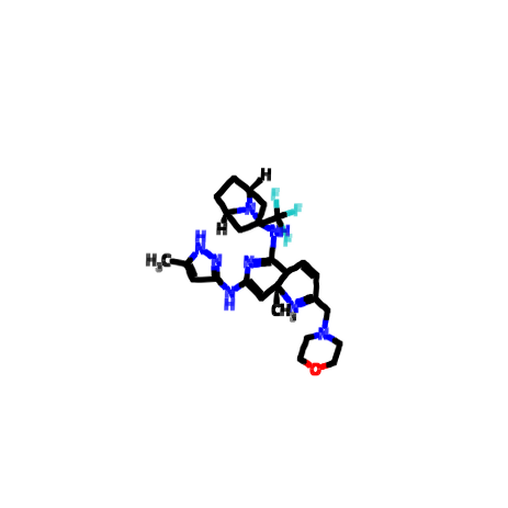 Cc1cc(NC2=C[C@@]3(C)N=C(CN4CCOCC4)C=CC3C(N[C@@H]3C[C@H]4CC[C@@H](C3)N4CC(F)(F)F)=N2)n[nH]1